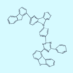 c1ccc(-c2nc(-c3ccc(-n4c5ccccc5c5cc(-c6cccc7c6Cc6ccccc6-7)ccc54)cc3)nc(-c3cccc4sc5ccccc5c34)n2)cc1